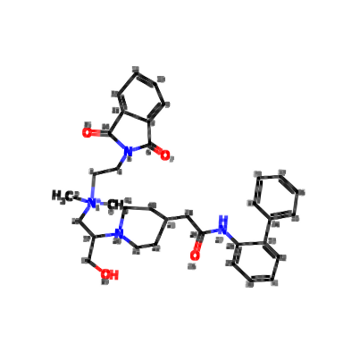 C[N+](C)(CCN1C(=O)c2ccccc2C1=O)CC(CO)N1CCC(CC(=O)Nc2ccccc2-c2ccccc2)CC1